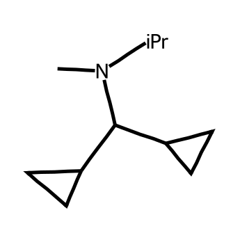 CC(C)N(C)C(C1CC1)C1CC1